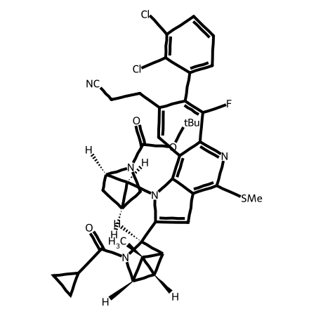 CSc1nc2c(F)c(-c3cccc(Cl)c3Cl)c(CCC#N)cc2c2c1cc([C@H]1C3[C@@H]4[C@H](N1C(=O)C1CC1)[C@]34C)n2[C@H]1[C@@H]2C[C@H]1N(C(=O)OC(C)(C)C)C2